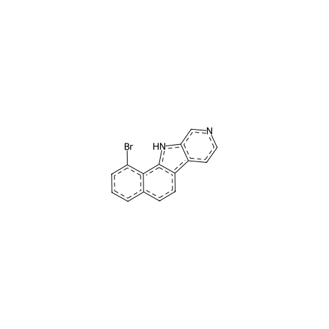 Brc1cccc2ccc3c4ccncc4[nH]c3c12